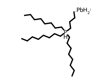 [CH2]CCC[PH](CCCCCCCC)(CCCCCCCC)CCCCCCCC.[PbH2]